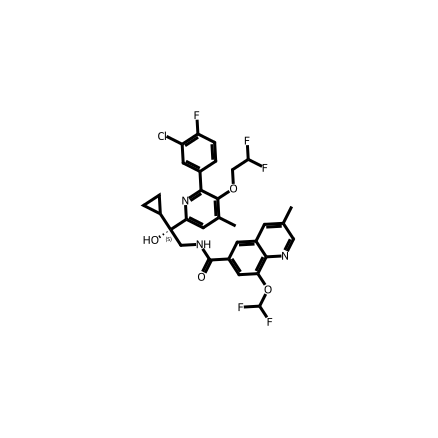 Cc1cnc2c(OC(F)F)cc(C(=O)NC[C@](O)(c3cc(C)c(OCC(F)F)c(-c4ccc(F)c(Cl)c4)n3)C3CC3)cc2c1